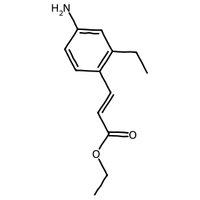 CCOC(=O)C=Cc1ccc(N)cc1CC